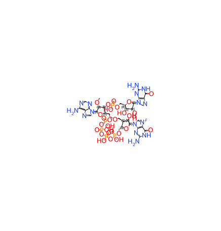 COC[C@H]1[C@@H](O)[C@H](n2c[n+](C)c3c(=O)[nH]c(N)nc32)O[C@@H]1COP(=O)(O)OP(=O)(O)OP(=O)(O)OP(=O)(O)OC[C@H]1O[C@@H](n2cnc3c(N)ncnc32)[C@H](OC)[C@@H]1OP(=O)(O)OC[C@H]1O[C@@H](n2cnc3c(=O)[nH]c(N)nc32)[C@H](O)[C@@H]1O